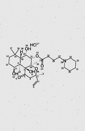 C=C[C@@]1(C)CC(=O)[C@]2(O)[C@@]3(C)[C@@H](O)CCC(C)(C)[C@@H]3[C@H](O)[C@H](OC(=O)CCCN3CCCCC3)[C@@]2(C)O1.Cl